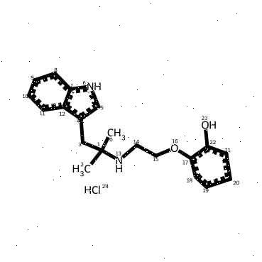 CC(C)(Cc1c[nH]c2ccccc12)NCCOc1ccccc1O.Cl